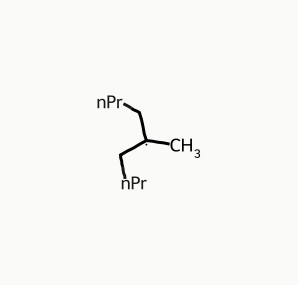 CCCC[C](C)CCCC